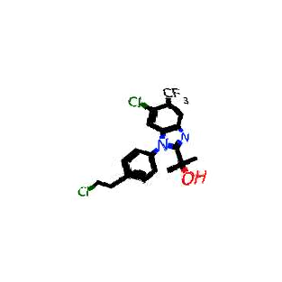 CC(C)(O)c1nc2cc(C(F)(F)F)c(Cl)cc2n1-c1ccc(CCCl)cc1